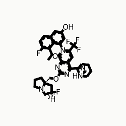 [2H][C@]1(F)CN2CCC[C@@]2(COc2nc(N3CC4CCC3CN4)c3cc(C(F)(F)F)n(-c4cc(O)cc5ccc(F)c(CC)c45)c(=O)c3n2)C1